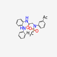 CC(=O)c1cccc(N(CC(=O)Nc2ccccc2Nc2ccccc2)S(C)(=O)=O)c1